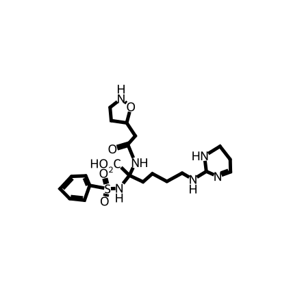 O=C(CC1CCNO1)NC(CCCCNC1N=CCCN1)(NS(=O)(=O)c1ccccc1)C(=O)O